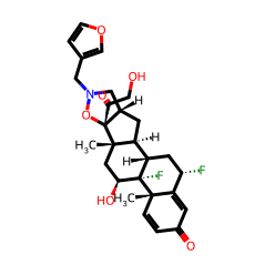 C[C@]12C=CC(=O)C=C1[C@@H](F)C[C@H]1[C@@H]3C[C@H]4CN(Cc5ccoc5)O[C@@]4(C(=O)CO)[C@@]3(C)C[C@H](O)[C@@]12F